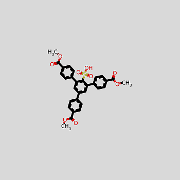 COC(=O)c1ccc(-c2cc(-c3ccc(C(=O)OC)cc3)c(S(=O)(=O)O)c(-c3ccc(C(=O)OC)cc3)c2)cc1